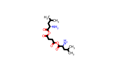 CC(C)C[C@H](N)C(=O)OC(=O)CCC(=O)OC(=O)[C@@H](N)CC(C)C